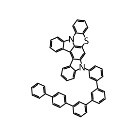 c1ccc(-c2ccc(-c3cccc(-c4cccc(-c5cccc(-n6c7ccccc7c7c8c9ccccc9n9c8c(cc76)Sc6ccccc6-9)c5)c4)c3)cc2)cc1